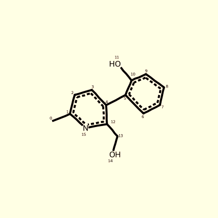 Cc1ccc(-c2ccccc2O)c(CO)n1